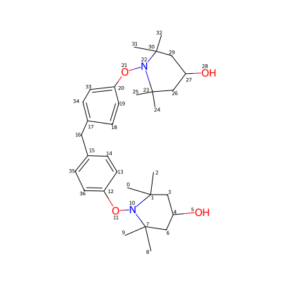 CC1(C)CC(O)CC(C)(C)N1Oc1ccc(Cc2ccc(ON3C(C)(C)CC(O)CC3(C)C)cc2)cc1